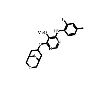 COc1c(Nc2ccc(C)cc2F)ncnc1OC1CC2COCC(C1)N2